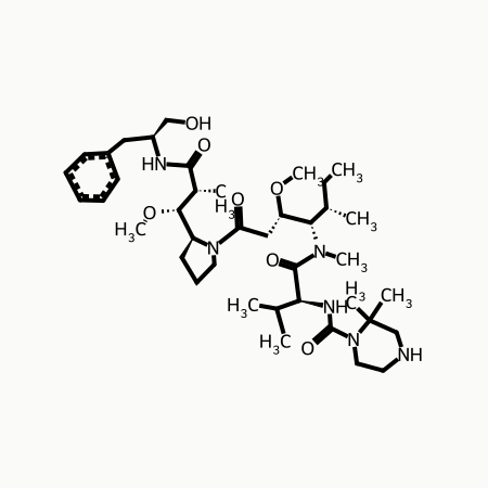 CC[C@H](C)[C@@H]([C@H](CC(=O)N1CCC[C@H]1[C@H](OC)[C@@H](C)C(=O)N[C@H](CO)Cc1ccccc1)OC)N(C)C(=O)[C@@H](NC(=O)N1CCNCC1(C)C)C(C)C